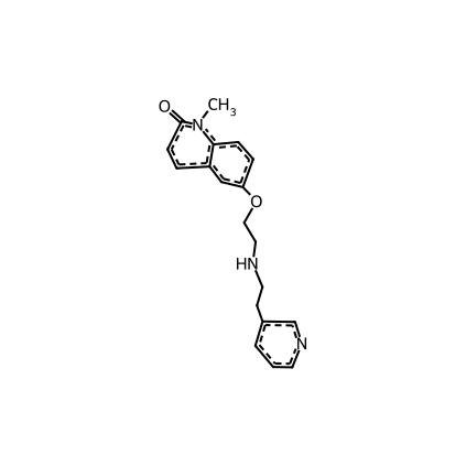 Cn1c(=O)ccc2cc(OCCNCCc3cccnc3)ccc21